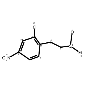 CC[S+]([O-])C[C]c1ccc([N+](=O)[O-])cc1Cl